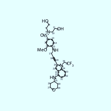 COc1cc([S+]([O-])N(CCO)CCO)ccc1NCC#Cc1cc2c(NC3CCOCC3)cccc2n1CC(F)(F)F